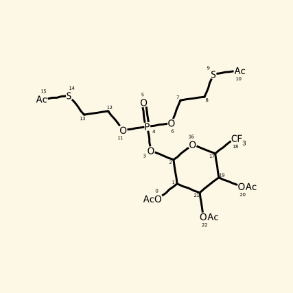 CC(=O)OC1C(OP(=O)(OCCSC(C)=O)OCCSC(C)=O)OC(C(F)(F)F)C(OC(C)=O)C1OC(C)=O